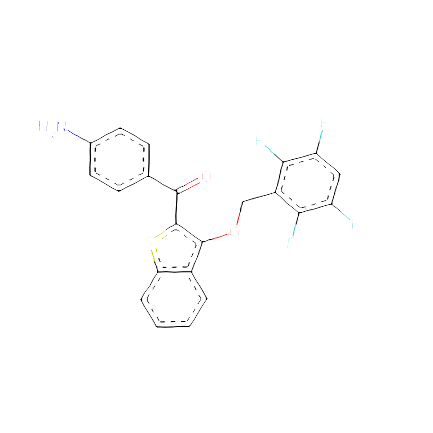 Nc1ccc(C(=O)c2sc3ccccc3c2OCc2c(F)c(F)cc(F)c2F)cc1